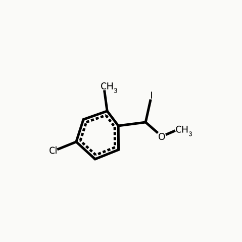 COC(I)c1ccc(Cl)cc1C